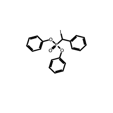 O=P(Oc1ccccc1)(Oc1ccccc1)C(I)c1ccccc1